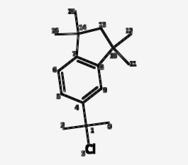 CC(C)(Cl)c1ccc2c(c1)C(C)(C)CC2(C)C